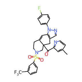 Cc1ccnc(C(=O)C23Cc4cnn(-c5ccc(F)cc5)c4C=C2CCN(S(=O)(=O)c2cccc(C(F)(F)F)c2)C3)c1